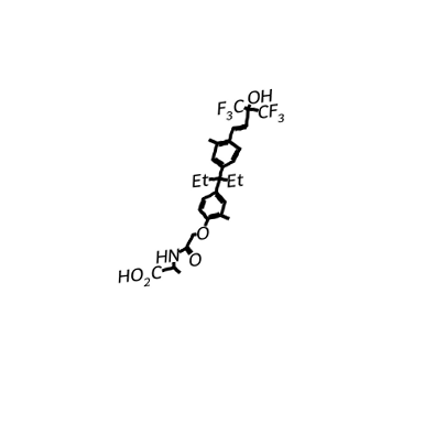 CCC(CC)(c1ccc(C=CC(O)(C(F)(F)F)C(F)(F)F)c(C)c1)c1ccc(OCC(=O)NC(C)C(=O)O)c(C)c1